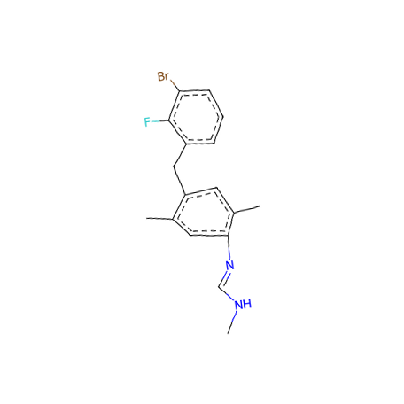 CNC=Nc1cc(C)c(Cc2cccc(Br)c2F)cc1C